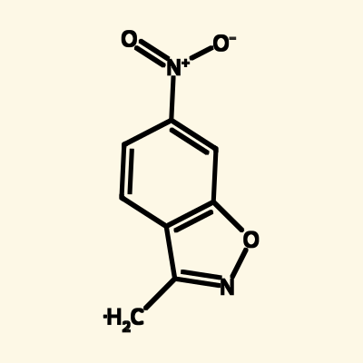 [CH2]c1noc2cc([N+](=O)[O-])ccc12